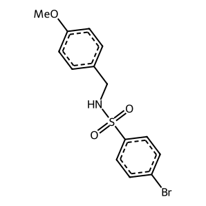 COc1ccc(CNS(=O)(=O)c2ccc(Br)cc2)cc1